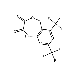 O=C1Nc2cc(C(F)(F)F)cc(C(F)(F)F)c2COC1=O